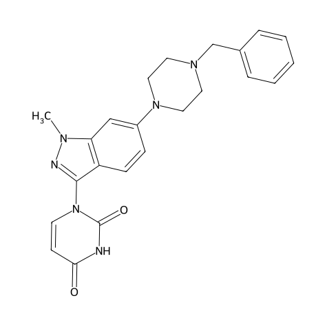 Cn1nc(-n2ccc(=O)[nH]c2=O)c2ccc(N3CCN(Cc4ccccc4)CC3)cc21